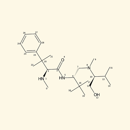 CN[C@H](C(=O)N[C@H](CN(C)[C@H](CO)C(C)C)C(C)(C)C)C(C)(C)c1ccccc1